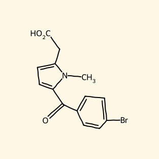 Cn1c(CC(=O)O)ccc1C(=O)c1ccc(Br)cc1